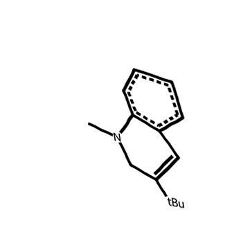 CN1CC(C(C)(C)C)=Cc2ccccc21